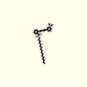 CCCCCCCCCCCCCCCCCNC(=O)c1ccccc1C#CC#Cc1cccc([N+](=O)[O-])c1